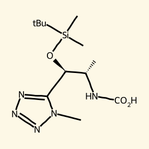 C[C@H](NC(=O)O)[C@H](O[Si](C)(C)C(C)(C)C)c1nnnn1C